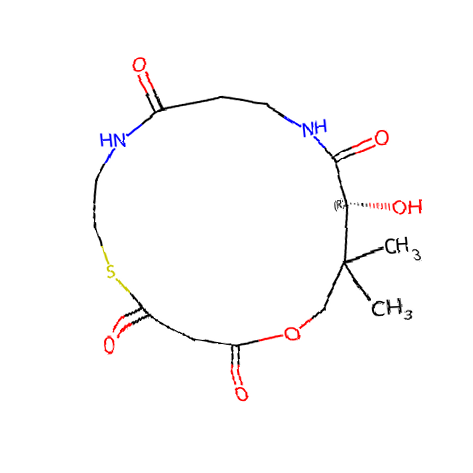 CC1(C)COC(=O)CC(=O)SCCNC(=O)CCNC(=O)[C@@H]1O